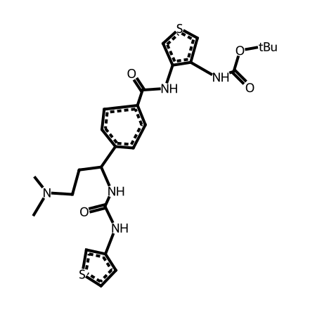 CN(C)CCC(NC(=O)Nc1ccsc1)c1ccc(C(=O)Nc2cscc2NC(=O)OC(C)(C)C)cc1